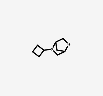 C1CC(N2CC3CC2C[N]3)C1